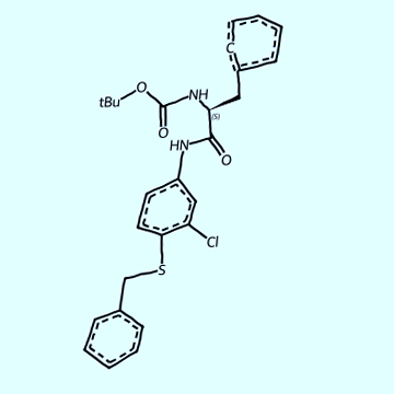 CC(C)(C)OC(=O)N[C@@H](Cc1ccccc1)C(=O)Nc1ccc(SCc2ccccc2)c(Cl)c1